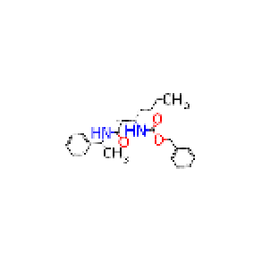 CCCC[C@@H]([CH]C(=O)N[C@H](C)c1ccccc1)NC(=O)OCc1ccccc1